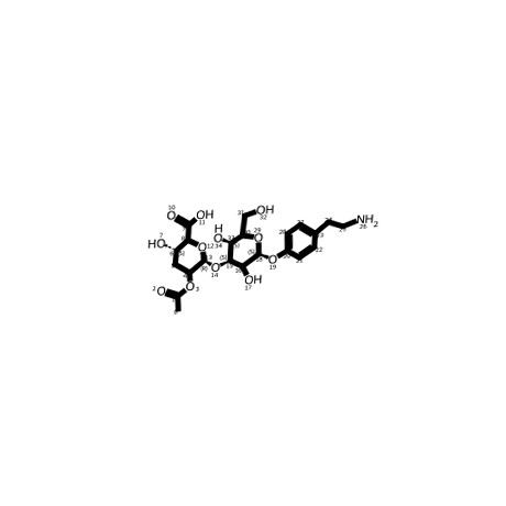 CC(=O)OC1C[C@H](O)C(C(=O)O)O[C@H]1O[C@@H]1C(O)[C@H](Oc2ccc(CCN)cc2)OC(CO)[C@@H]1O